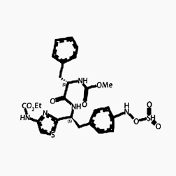 CCOC(=O)Nc1csc([C@H](Cc2ccc(NO[SH](=O)=O)cc2)NC(=O)[C@H](Cc2ccccc2)NC(=O)OC)n1